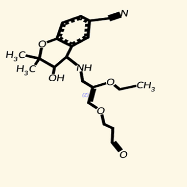 CCO/C(=C\OCCC=O)CNC1c2cc(C#N)ccc2OC(C)(C)C1O